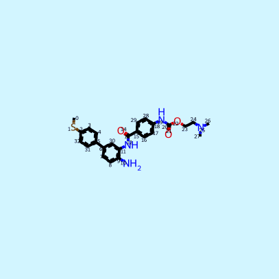 CSc1ccc(-c2ccc(N)c(NC(=O)c3ccc(NC(=O)OCCN(C)C)cc3)c2)cc1